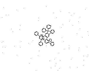 c1ccc(-c2cc(-c3ccccc3)nc(-c3cc4c(cc3-c3cccc5c3oc3ccccc35)-c3ccccc3C4(c3ccccc3)c3ccccc3)n2)cc1